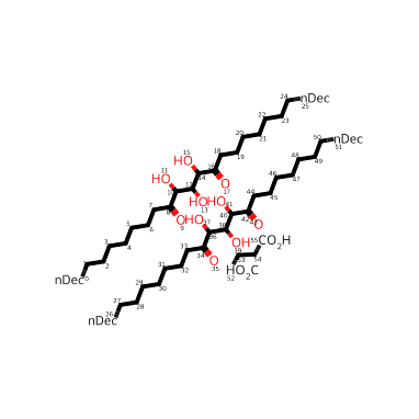 CCCCCCCCCCCCCCCCCC(=O)C(O)C(O)C(O)C(=O)CCCCCCCCCCCCCCCCC.CCCCCCCCCCCCCCCCCC(=O)C(O)C(O)C(O)C(=O)CCCCCCCCCCCCCCCCC.O=C(O)CCC(=O)O